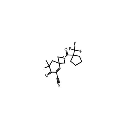 CC1(C)CC2(C=C(C#N)C1=O)CN(C(=O)C1(C(F)(F)F)CCCC1)C2